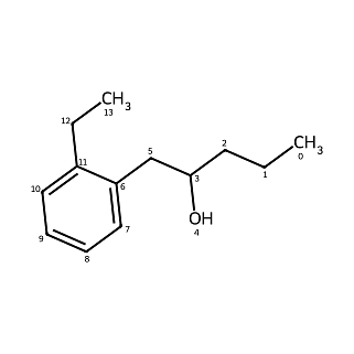 CCCC(O)Cc1ccccc1CC